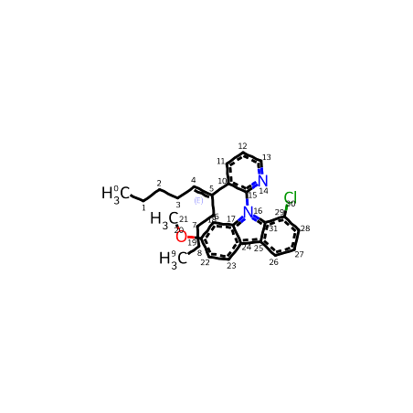 CCCC/C=C(\CCCC)c1cccnc1-n1c2cc(OC)ccc2c2cccc(Cl)c21